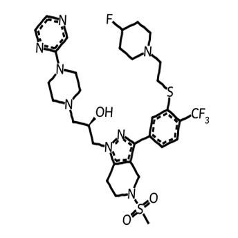 CS(=O)(=O)N1CCc2c(c(-c3ccc(C(F)(F)F)c(SCCN4CCC(F)CC4)c3)nn2C[C@H](O)CN2CCN(c3cnccn3)CC2)C1